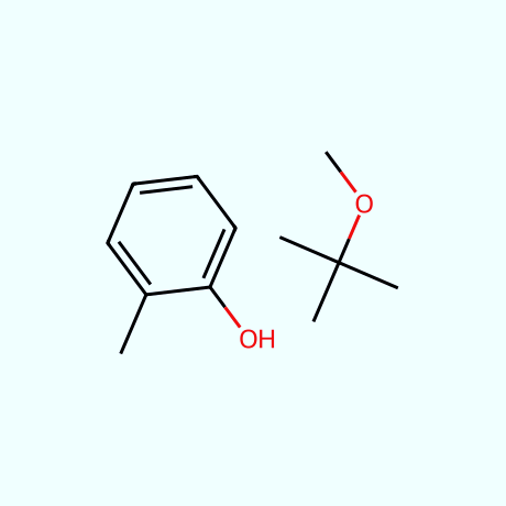 COC(C)(C)C.Cc1ccccc1O